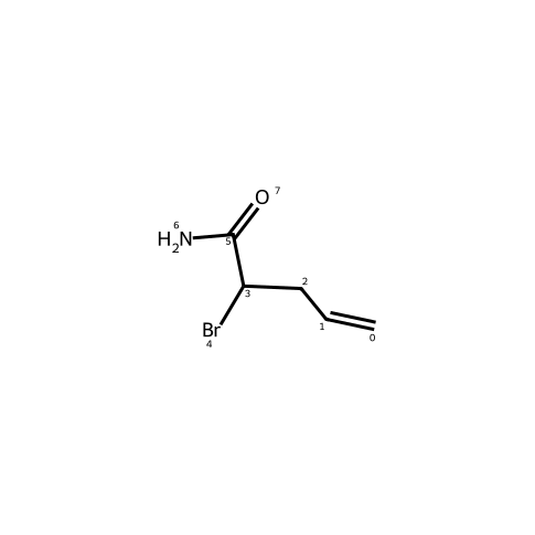 C=CCC(Br)C(N)=O